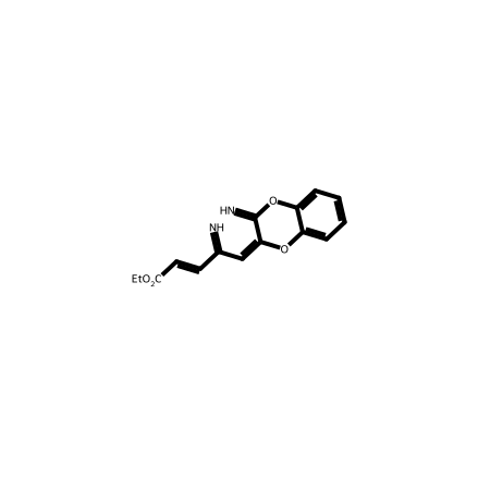 CCOC(=O)/C=C/C(=N)/C=C1/Oc2ccccc2OC1=N